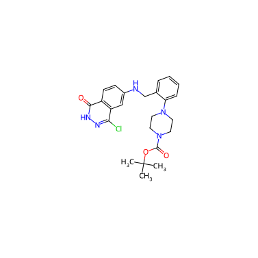 CC(C)(C)OC(=O)N1CCN(c2ccccc2CNc2ccc3c(=O)[nH]nc(Cl)c3c2)CC1